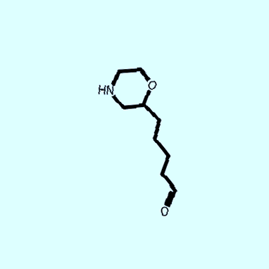 O=CCCCCC1CNCCO1